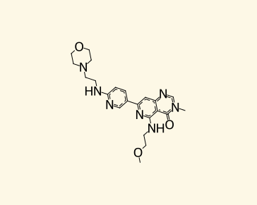 COCCNc1nc(-c2ccc(NCCN3CCOCC3)nc2)cc2ncn(C)c(=O)c12